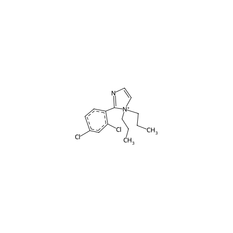 CCC[N+]1(CCC)C=CN=C1c1ccc(Cl)cc1Cl